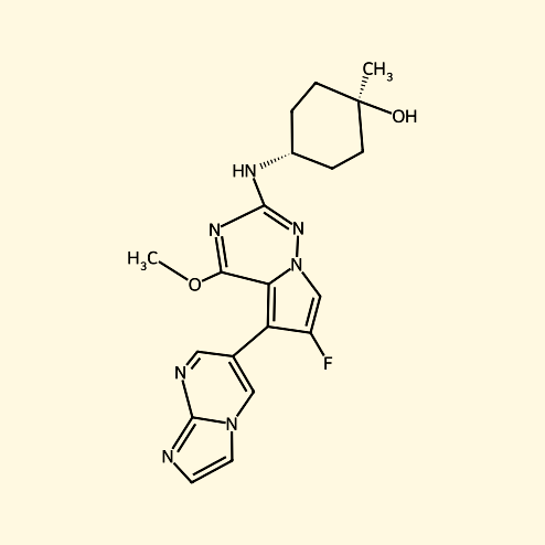 COc1nc(N[C@H]2CC[C@](C)(O)CC2)nn2cc(F)c(-c3cnc4nccn4c3)c12